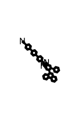 N#Cc1ccc(-c2ccc(-c3ccc(-n4nc5cc(-c6ccccc6)c(-c6cc7ccccc7c7ccccc67)cc5n4)cc3)cc2)cc1